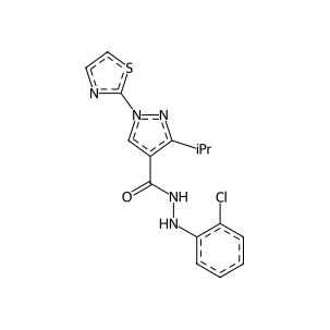 CC(C)c1nn(-c2nccs2)cc1C(=O)NNc1ccccc1Cl